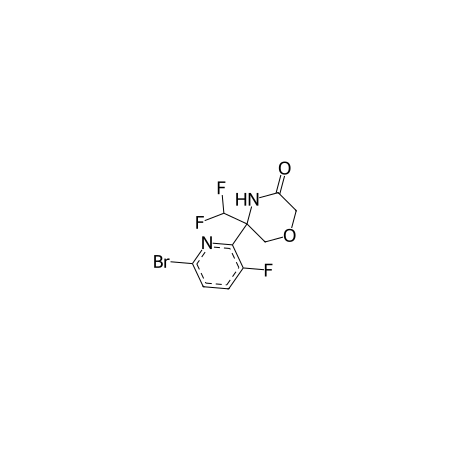 O=C1COCC(c2nc(Br)ccc2F)(C(F)F)N1